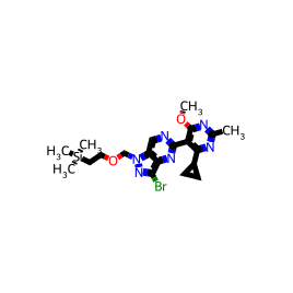 COc1nc(C)nc(C2CC2)c1-c1ncc2c(n1)c(Br)nn2COCC[Si](C)(C)C